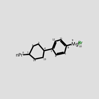 CCCC1CCC(c2cc[c]([Mg][Br])cc2)CC1